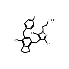 CCc1nn(CCC(=O)O)c(CC)c1Cc1cc(Cc2ccc(F)cc2)c(O)c2c1CCC2